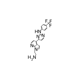 NCCn1ccc2c(-c3ccnc(Nc4ccc(C(F)(F)F)cc4)n3)ccnc21